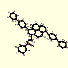 c1ccc(-c2ccc(-c3ccc4ccc5c(-c6ccc(-c7ccccc7)cc6)cc(-c6nnc(-c7ccccc7)o6)c6ccc3c4c56)cc2)cc1